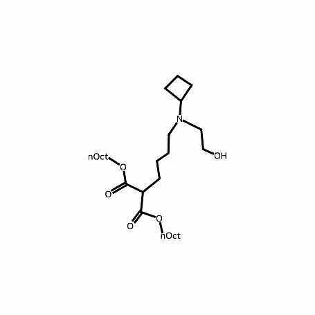 CCCCCCCCOC(=O)C(CCCCN(CCO)C1CCC1)C(=O)OCCCCCCCC